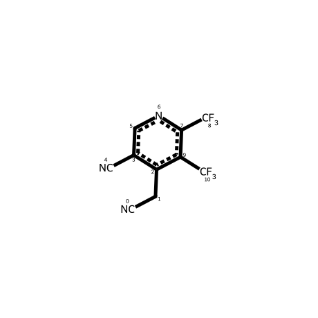 N#CCc1c(C#N)cnc(C(F)(F)F)c1C(F)(F)F